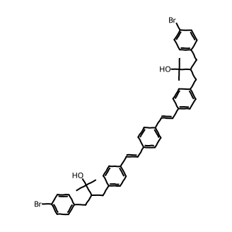 CC(C)(O)C(Cc1ccc(Br)cc1)Cc1ccc(C=Cc2ccc(C=Cc3ccc(CC(Cc4ccc(Br)cc4)C(C)(C)O)cc3)cc2)cc1